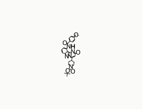 COc1ccc(C(=O)Nc2cccc3nn4c(C5CCN(C(=O)OC(C)(C)C)CC5)cc(=O)[nH]c4c23)cc1